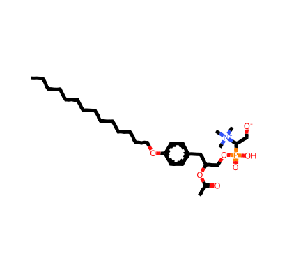 CCCCCCCCCCCCCCOc1ccc(CC(COP(=O)(O)C(C[O-])[N+](C)(C)C)OC(C)=O)cc1